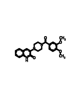 COc1ccc(C(=O)N2CCN(c3cc4ccccc4[nH]c3=O)CC2)cc1OC